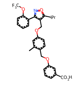 Cc1cc(OCc2c(-c3ccccc3OC(F)(F)F)noc2C(C)C)ccc1COc1cccc(C(=O)O)c1